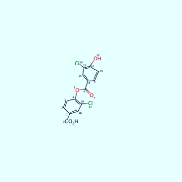 O=C(O)c1ccc(OC(=O)c2ccc(O)c(Cl)c2)c(Cl)c1